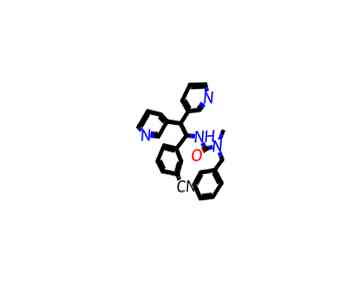 CN(Cc1ccccc1)C(=O)NC(c1cccc(C#N)c1)C(c1cccnc1)c1cccnc1